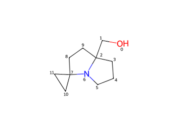 OCC12CCCN1C1(CC2)CC1